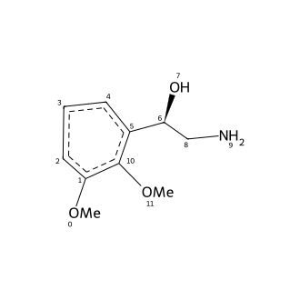 COc1cccc([C@@H](O)CN)c1OC